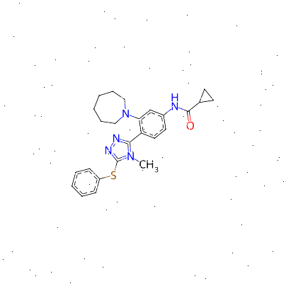 Cn1c(Sc2ccccc2)nnc1-c1ccc(NC(=O)C2CC2)cc1N1CCCCCC1